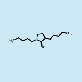 CCCCCN1CCN(CCCCC)C1=N